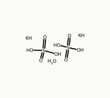 O.O=S(=O)(O)O.O=S(=O)(O)O.[KH].[KH]